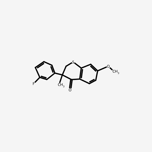 COc1ccc2c(c1)SCC(C)(c1cccc(F)c1)C2=O